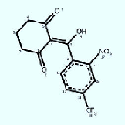 O=C1CCCC(=O)C1=C(O)c1ccc(C(F)(F)F)cc1[N+](=O)[O-]